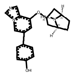 O=C(O)N1[C@@H]2CC[C@H]1C[C@@H](Oc1cc(-c3ccc(O)cc3)cn3cncc13)C2